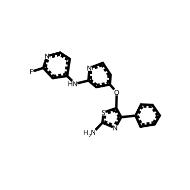 Nc1nc(-c2ccccc2)c(Oc2ccnc(Nc3ccnc(F)c3)c2)s1